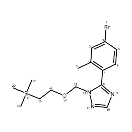 Cc1cc(Br)ccc1-c1ncnn1COCC[Si](C)(C)C